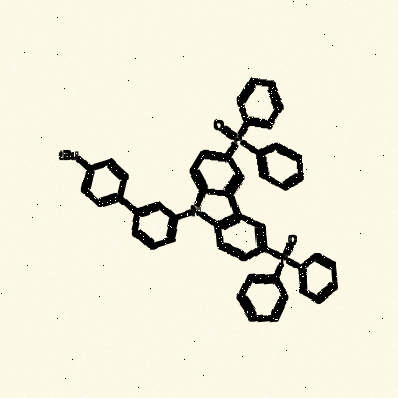 CC(C)(C)c1ccc(-c2cccc(-n3c4ccc(P(=O)(c5ccccc5)c5ccccc5)cc4c4cc(P(=O)(c5ccccc5)c5ccccc5)ccc43)c2)cc1